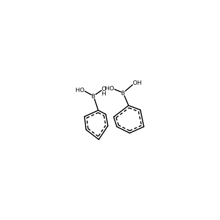 OB(O)c1ccccc1.OB(O)c1ccccc1